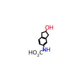 O=C(O)Nc1ccc2c(c1)CC(O)C2